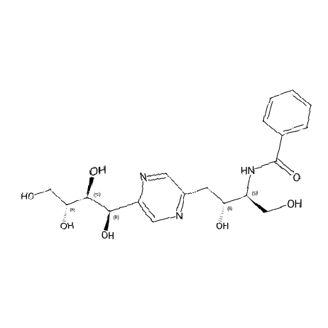 O=C(N[C@@H](CO)[C@H](O)Cc1cnc([C@@H](O)[C@H](O)[C@H](O)CO)cn1)c1ccccc1